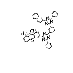 CC1(C)c2ccccc2Sc2cc(-c3nc(-c4ccccc4)nc(-c4cccc(-c5nc(-c6ccccc6)nc(-c6ccc7ccccc7c6)n5)c4)n3)ccc21